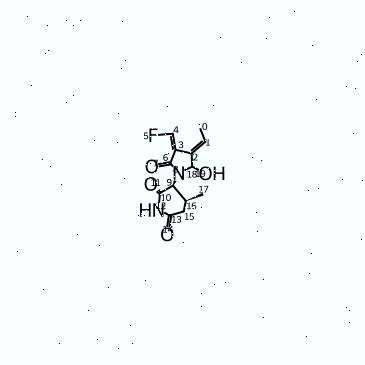 C/C=C1\C(=C\F)C(=O)N([C@@H]2C(=O)NC(=O)C[C@@H]2C)C1O